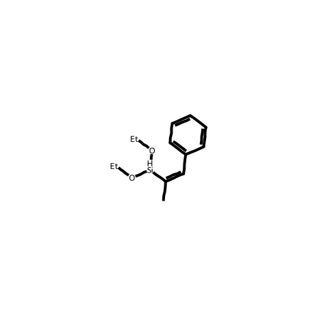 CCO[SiH](OCC)C(C)=Cc1ccccc1